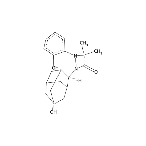 CC1(C)C(=O)N([C@H]2C3CC4CC2C[C@](O)(C4)C3)N1c1ccccc1O